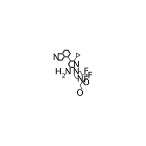 COCCC(=O)N1CCN(c2nc(C3CC3)c(-c3cccc4cnccc34)cc2N)CC1C(F)(F)F